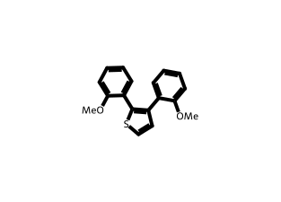 COc1ccccc1-c1ccsc1-c1ccccc1OC